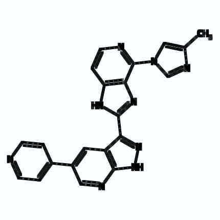 Cc1cn(-c2nccc3[nH]c(-c4n[nH]c5ncc(-c6ccncc6)cc45)nc23)cn1